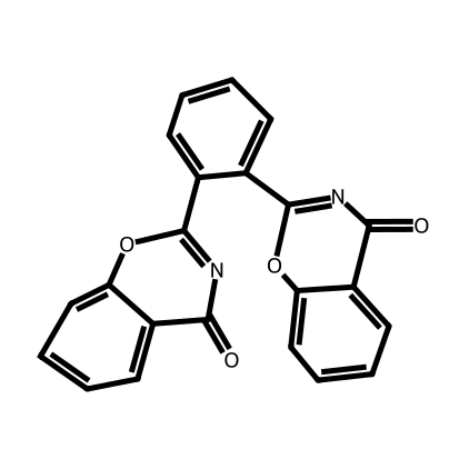 O=c1nc(-c2ccccc2-c2nc(=O)c3ccccc3o2)oc2ccccc12